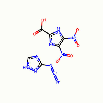 O=C(O)c1nc([N+](=O)[O-])c([N+](=O)[O-])[nH]1.[N-]=[N+]=Nc1nc[nH]n1